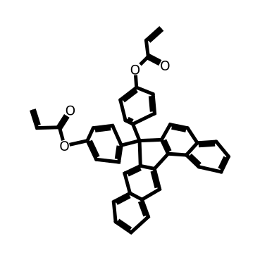 C=CC(=O)Oc1ccc(C2(c3ccc(OC(=O)C=C)cc3)c3cc4ccccc4cc3-c3c2ccc2ccccc32)cc1